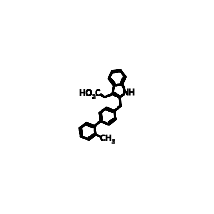 Cc1ccccc1-c1ccc(Cc2[nH]c3ccccc3c2CC(=O)O)cc1